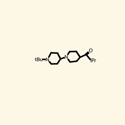 CC(C)C(=O)C1CCN(C2CCN(C(C)(C)C)CC2)CC1